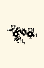 CS(=O)(=O)c1ccc(OC(CI)C(F)(F)F)c(C(=O)N2CCN(c3ccc(Cl)cc3C#N)CC2)c1